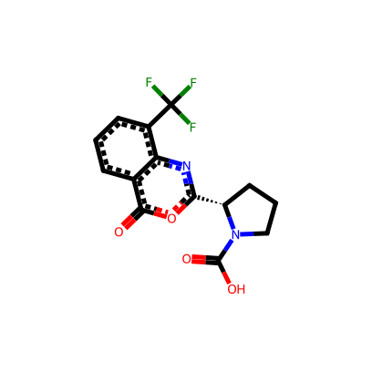 O=C(O)N1CCC[C@H]1c1nc2c(C(F)(F)F)cccc2c(=O)o1